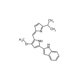 COc1cc(-c2cc3ccccc3[nH]2)[nH]c1C=C1C=CC(C(C)C)=N1